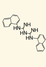 N=C(NC(=N)Nc1cccc2ccccc12)Nc1cccc2ccccc12